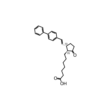 O=C(O)CCCCCC[C@@H]1C(=O)CC[C@H]1C=Cc1ccc(-c2ccccc2)cc1